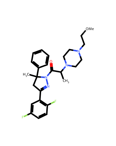 COCCN1CCN(C(C)C(=O)N2N=C(c3cc(F)ccc3F)CC2(C)c2ccccc2)CC1